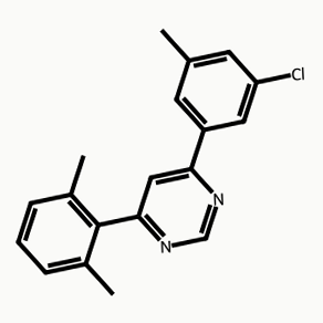 Cc1cc(Cl)cc(-c2cc(-c3c(C)cccc3C)ncn2)c1